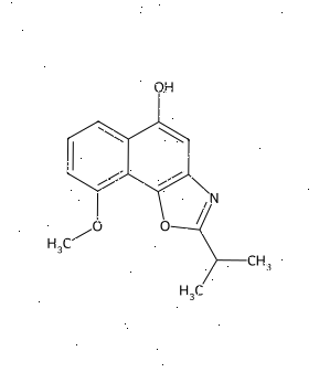 COc1cccc2c(O)cc3nc(C(C)C)oc3c12